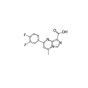 Cc1cc(-c2ccc(F)c(F)c2)nc2c(C(=O)O)ncn12